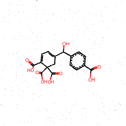 O=C(O)C1=CC=C(C(O)c2ccc(C(=O)O)cc2)CC1(C(=O)O)C(=O)O